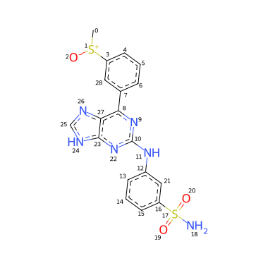 C[S+]([O-])c1cccc(-c2nc(Nc3cccc(S(N)(=O)=O)c3)nc3[nH]cnc23)c1